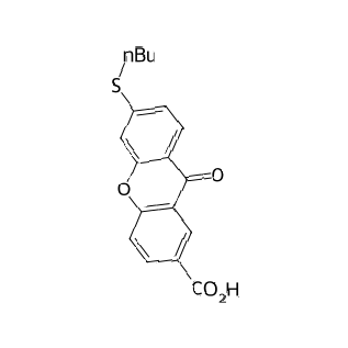 CCCCSc1ccc2c(=O)c3cc(C(=O)O)ccc3oc2c1